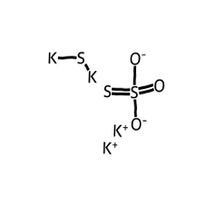 O=S([O-])([O-])=S.[K+].[K+].[K][S][K]